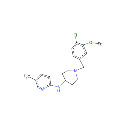 CCOc1cc(CN2CCC(Nc3ccc(C(F)(F)F)cn3)CC2)ccc1Cl